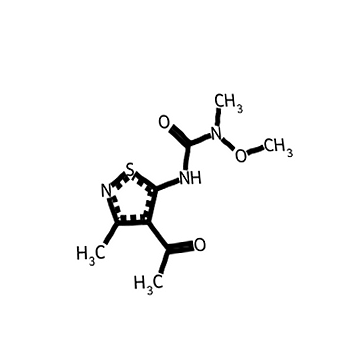 CON(C)C(=O)Nc1snc(C)c1C(C)=O